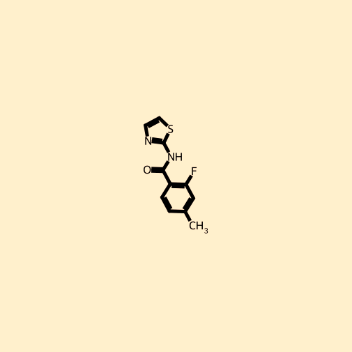 Cc1ccc(C(=O)Nc2nccs2)c(F)c1